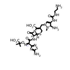 C[n+]1c(N)c(NC(=O)NCCN)cn1CC1=C(C(=O)O)N2C(=O)[C@@H](NC(=O)/C(=N\OC(C)(C)C(=O)O)c3nsc(N)n3)[C@H]2SC1